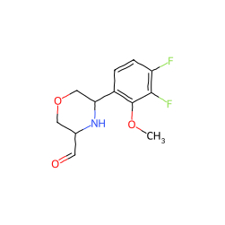 COc1c(C2COCC(C=O)N2)ccc(F)c1F